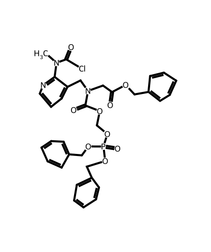 CN(C(=O)Cl)c1ncccc1CN(CC(=O)OCc1ccccc1)C(=O)OCOP(=O)(OCc1ccccc1)OCc1ccccc1